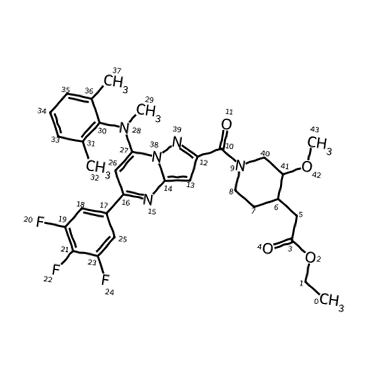 CCOC(=O)CC1CCN(C(=O)c2cc3nc(-c4cc(F)c(F)c(F)c4)cc(N(C)c4c(C)cccc4C)n3n2)CC1OC